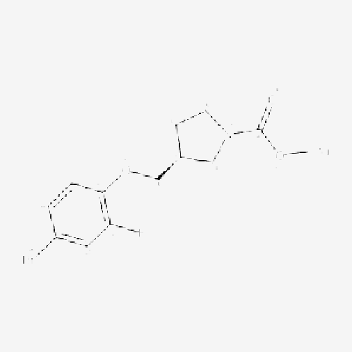 CC(C)(C)OC(=O)N1CC[C@H](COc2ccc(Br)cc2F)C1